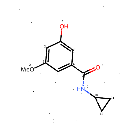 COc1cc(O)cc(C(=O)NC2CC2)c1